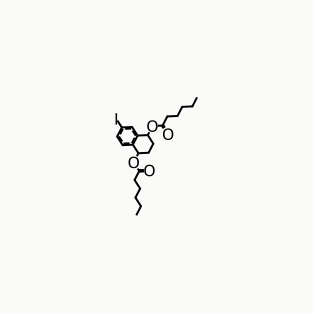 CCCCCC(=O)OC1CCC(OC(=O)CCCCC)c2cc(I)ccc21